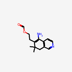 CC1(C)Cc2cnccc2C(N)=C1CCOC=O